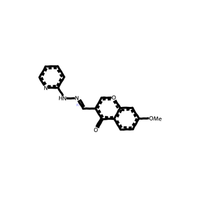 COc1ccc2c(=O)c(/C=N/Nc3ccccn3)coc2c1